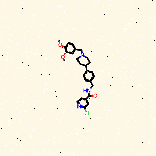 COc1ccc(CN2CCC(c3ccc(CNC(=O)c4ccnc(Cl)c4)cc3)CC2)cc1OC